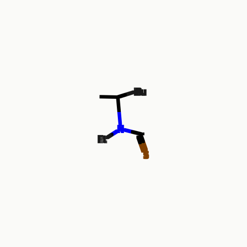 CCC(C)C(C)N([C]=S)CC